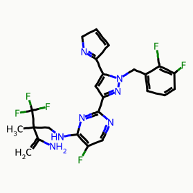 C=C(N)C(C)(CNc1nc(-c2cc(C3=NCC=C3)n(Cc3cccc(F)c3F)n2)ncc1F)C(F)(F)F